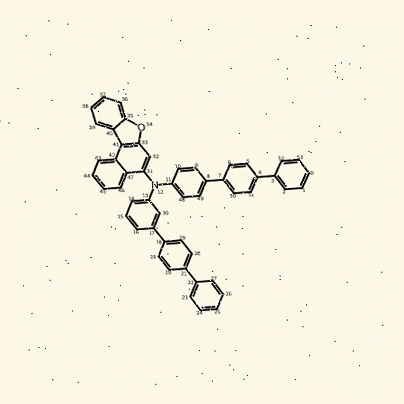 c1ccc(-c2ccc(-c3ccc(N(c4cccc(-c5ccc(-c6ccccc6)cc5)c4)c4cc5oc6ccccc6c5c5ccccc45)cc3)cc2)cc1